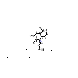 CCCc1c(C)cccc1/C(=C/C=N)NC